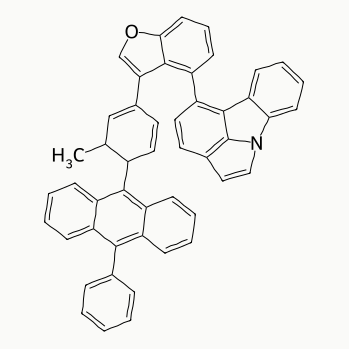 CC1C=C(c2coc3cccc(-c4ccc5ccn6c7ccccc7c4c56)c23)C=CC1c1c2ccccc2c(-c2ccccc2)c2ccccc12